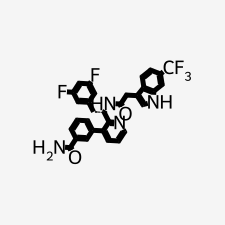 NC(=O)c1cccc(-c2cccnc2[C@H](Cc2cc(F)cc(F)c2)NC(=O)Cc2c[nH]c3cc(C(F)(F)F)ccc23)c1